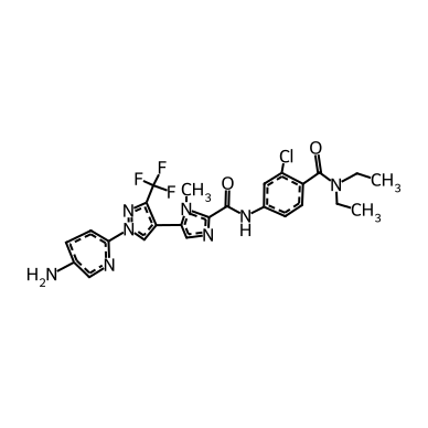 CCN(CC)C(=O)c1ccc(NC(=O)c2ncc(-c3cn(-c4ccc(N)cn4)nc3C(F)(F)F)n2C)cc1Cl